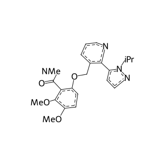 CNC(=O)c1c(OCc2cccnc2-c2ccnn2C(C)C)ccc(OC)c1OC